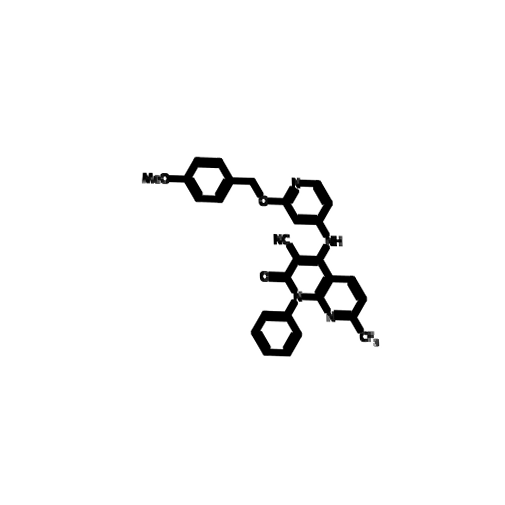 COc1ccc(COc2cc(Nc3c(C#N)c(=O)n(-c4ccccc4)c4nc(C(F)(F)F)ccc34)ccn2)cc1